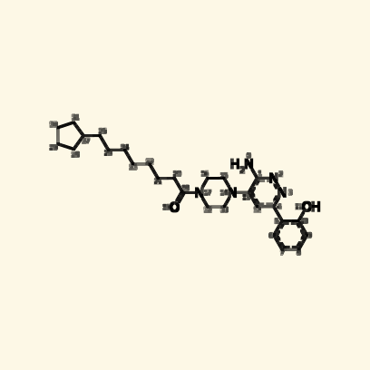 Nc1nnc(-c2ccccc2O)cc1N1CCN(C(=O)CCCCCCCC2CCCC2)CC1